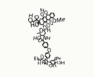 CCNC(=O)c1nnc(-c2cc(C(C)C)c(O)cc2O)n1-c1ccc(Oc2ccc(C(=O)NC3CC(OC4C[C@](O)(C(=O)CO)Cc5c(O)c6c(c(O)c54)C(=O)c4c(OC)cccc4C6=O)OC(C)C3O)cc2)cc1